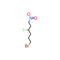 O=[N+]([O-])CCC(F)CCCBr